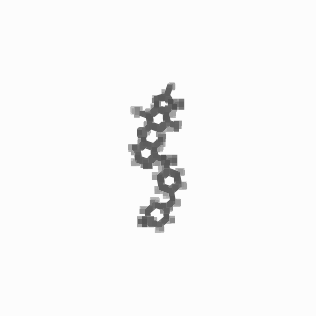 Cc1cc2c(F)c(Oc3ncnc(Nc4ccc(CN5CCNCC5)cc4)c3F)cc(F)c2[nH]1